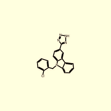 Clc1ccccc1Cn1c2ccccc2c2cc(-c3nn[nH]n3)ccc21